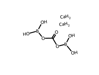 O=C(OB(O)O)OB(O)O.[CaH2].[CaH2]